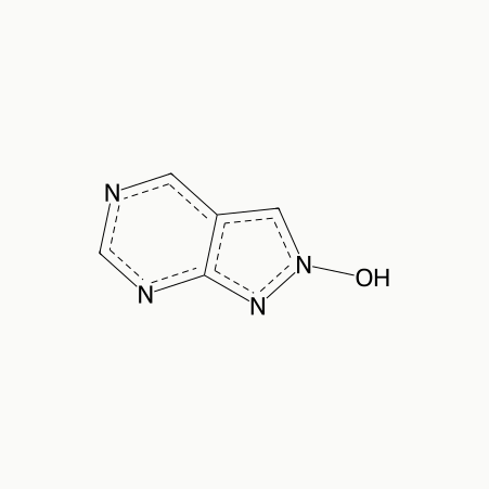 On1cc2cncnc2n1